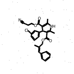 CC(=Cc1ccccc1)COC(=O)C1=C(C)NC(C)=C(C(=O)OCCC#N)C1c1cccc(Cl)c1